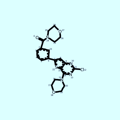 O=C(c1cccc(-c2cc3nc(Cl)nc(N4CCOCC4)c3s2)c1)N1CCOCC1